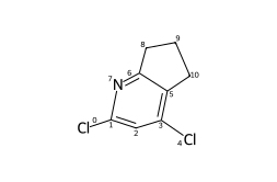 Clc1cc(Cl)c2c(n1)CCC2